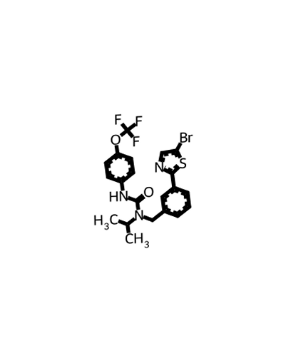 CC(C)N(Cc1cccc(-c2ncc(Br)s2)c1)C(=O)Nc1ccc(OC(F)(F)F)cc1